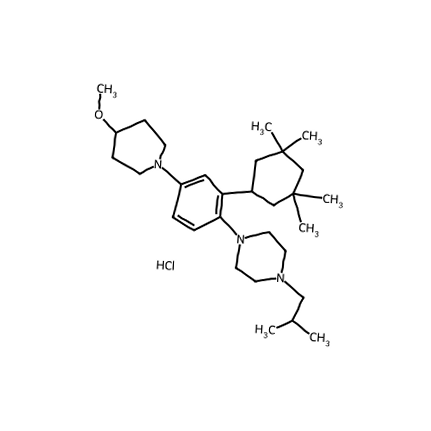 COC1CCN(c2ccc(N3CCN(CC(C)C)CC3)c(C3CC(C)(C)CC(C)(C)C3)c2)CC1.Cl